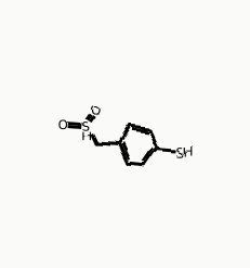 O=[SH](=O)Cc1ccc(S)cc1